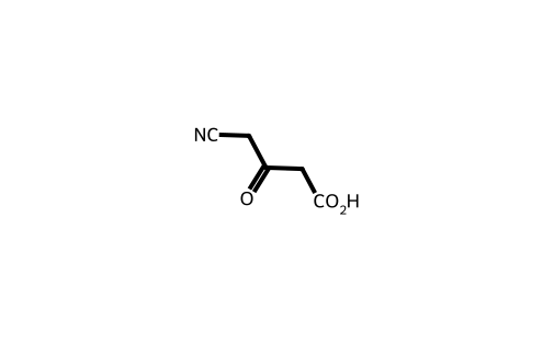 N#CCC(=O)CC(=O)O